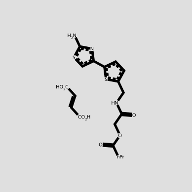 CCCC(=O)OCC(=O)NCc1ccc(-c2csc(N)n2)s1.O=C(O)C=CC(=O)O